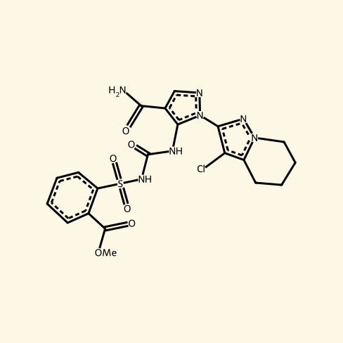 COC(=O)c1ccccc1S(=O)(=O)NC(=O)Nc1c(C(N)=O)cnn1-c1nn2c(c1Cl)CCCC2